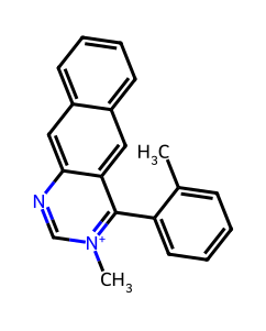 Cc1ccccc1-c1c2cc3ccccc3cc2nc[n+]1C